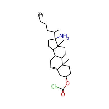 CC(C)CCCC(C)C1(N)CCC2C3CC=C4CC(OC(=O)Cl)CCC4(C)C3CCC21C